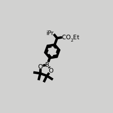 CCOC(=O)C(c1ccc(B2OC(C)(C)C(C)(C)O2)cc1)C(C)C